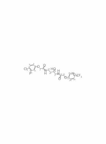 O=C(COc1ccc(Cl)c(F)c1)NCC[C@@H](O)CNC(=O)COc1ccc(C(F)(F)F)nc1